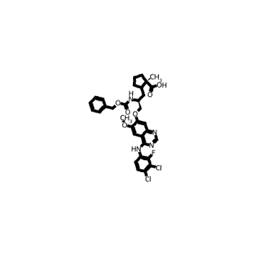 COc1cc2c(Nc3ccc(Cl)c(Cl)c3F)ncnc2cc1OC[C@H](CC1CCC[C@@]1(C)C(=O)O)NC(=O)OCc1ccccc1